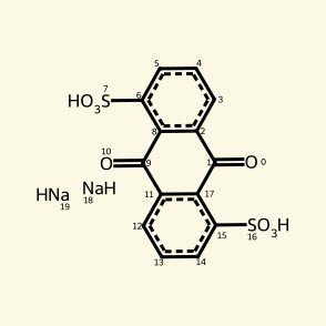 O=C1c2cccc(S(=O)(=O)O)c2C(=O)c2cccc(S(=O)(=O)O)c21.[NaH].[NaH]